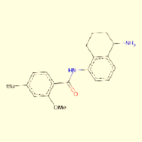 COc1cc(C(C)(C)C)ccc1C(=O)Nc1cccc2c1CCCC2N